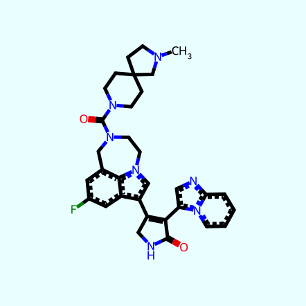 CN1CCC2(CCN(C(=O)N3CCn4cc(C5=C(c6cnc7ccccn67)C(=O)NC5)c5cc(F)cc(c54)C3)CC2)C1